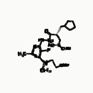 COCCN(C)c1nc(C)nc(NNC(=O)[C@H](CC2CCCC2)CN(O)C=O)c1F